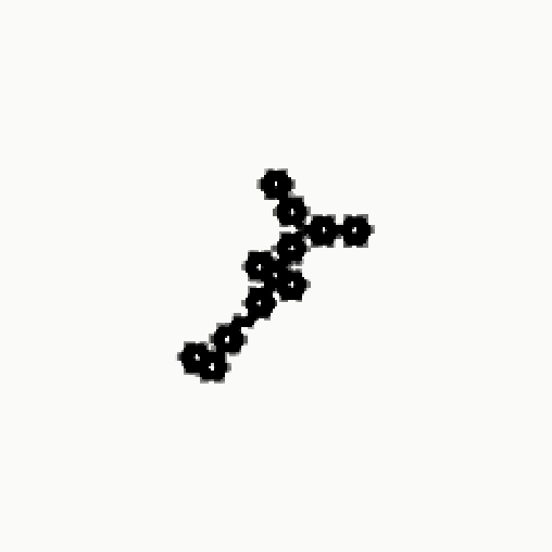 C(=C\c1ccc(-c2c3ccccc3c(-c3ccc(N(c4ccc(-c5ccccc5)cc4)c4ccc(-c5ccccc5)cc4)cc3)c3ccccc23)cc1)/c1ccc(-c2cccc3ccccc23)cc1